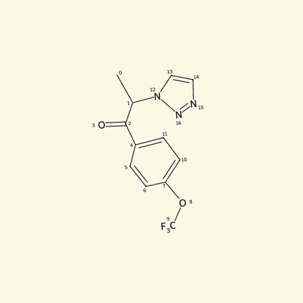 CC(C(=O)c1ccc(OC(F)(F)F)cc1)n1ccnn1